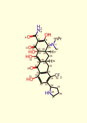 CCCN(C)[C@@H]1C(O)=C(C(N)=O)C(=O)[C@@]2(O)C(O)=C3C(=O)c4c(O)cc(C5CCCN5)c(C(F)(F)F)c4C[C@H]3C[C@@H]12